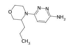 CCCC1COCCN1c1ccc(N)nn1